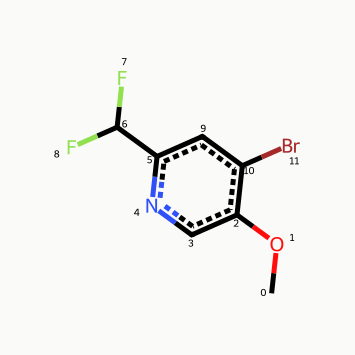 COc1cnc(C(F)F)cc1Br